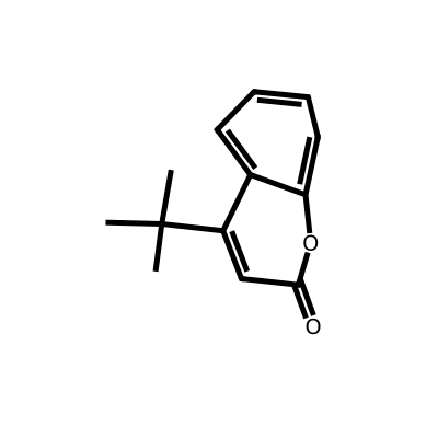 CC(C)(C)c1cc(=O)oc2ccccc12